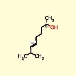 CC(C)/C=C/CCC[C@H](C)O